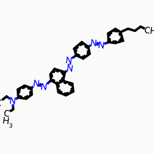 CCCCc1ccc(N=Nc2ccc(N=Nc3ccc(N=Nc4ccc(N(CC)CC)cc4)c4ccccc34)cc2)cc1